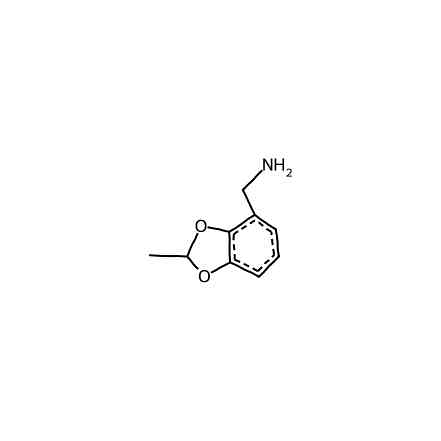 CC1Oc2cccc(CN)c2O1